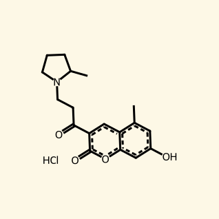 Cc1cc(O)cc2oc(=O)c(C(=O)CCN3CCCC3C)cc12.Cl